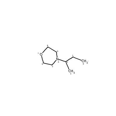 [CH2]CC(C)N1CCOCC1